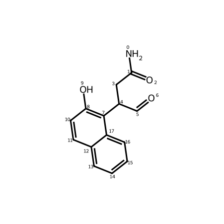 NC(=O)CC(C=O)c1c(O)ccc2ccccc12